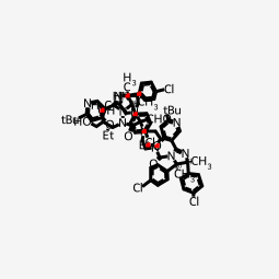 CCOc1cc(C(C)(C)C)ncc1C1=N[C@@](C)(c2ccc(Cl)cc2)[C@@](C)(c2ccc(Cl)cc2)N1C(=O)N1CCN(C(C=O)(C(=O)N(CC(O)CO)N2C(c3cnc(C(C)(C)C)cc3OCC)=N[C@](C)(c3ccc(Cl)cc3)[C@@]2(C)c2ccc(Cl)cc2)N2CCN[C@H](C)C2)CC1